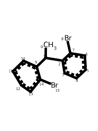 CC(c1ccccc1Br)c1ccccc1Br